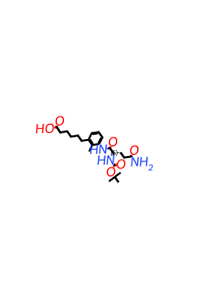 Cc1c(CCCCCC(=O)O)cccc1NC(=O)[C@H](CCC(N)=O)NC(=O)OC(C)(C)C